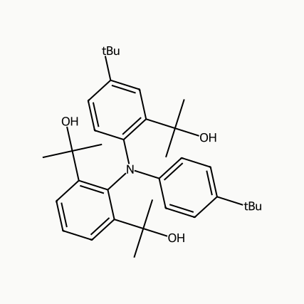 CC(C)(C)c1ccc(N(c2ccc(C(C)(C)C)cc2C(C)(C)O)c2c(C(C)(C)O)cccc2C(C)(C)O)cc1